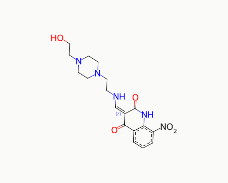 O=C1Nc2c(cccc2[N+](=O)[O-])C(=O)/C1=C/NCCN1CCN(CCO)CC1